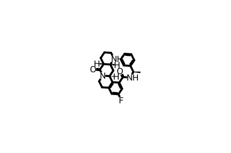 C[C@@H](NC(=O)c1cc(F)cc2c1[C@@H]1C[C@H]3NCCC[C@H]3C(=O)N1CC2)c1ccccc1